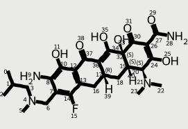 CC(C)CN(C)Cc1c(N)c(O)c2c(c1F)C[C@H]1C[C@H]3[C@H](N(C)C)C(O)=C(C(N)=O)C(=O)[C@@]3(O)C(O)=C1C2=O